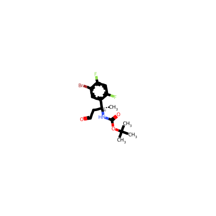 CC(C)(C)OC(=O)N[C@@](C)(CC=O)c1cc(Br)c(F)cc1F